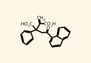 C=C(C(=O)O)C(CC(=O)c1cccc2ccccc12)(C(=O)O)c1ccccc1